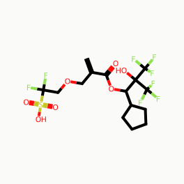 C=C(COCC(F)(F)S(=O)(=O)O)C(=O)OC(C1CCCC1)C(O)(C(F)(F)F)C(F)(F)F